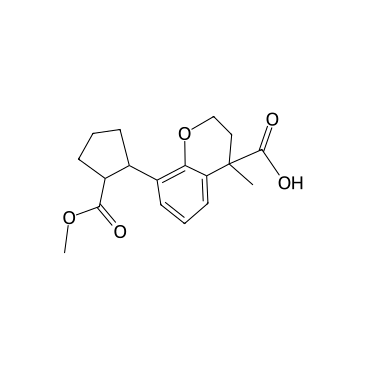 COC(=O)C1CCCC1c1cccc2c1OCCC2(C)C(=O)O